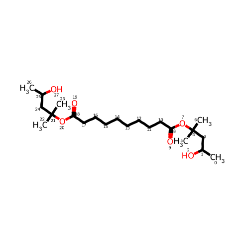 CC(O)CC(C)(C)OC(=O)CCCCCCCCC(=O)OC(C)(C)CC(C)O